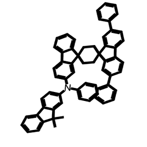 CC1(C)c2ccccc2-c2ccc(N(c3ccccc3)c3ccc4c(c3)C3(CCC5(CC3)c3cc(-c6ccccc6)ccc3-c3ccc(-c6ccccc6)cc35)c3ccccc3-4)cc21